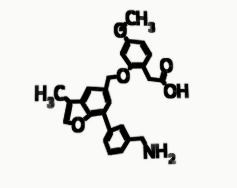 COc1ccc(CC(=O)O)c(OCc2cc(-c3cccc(CN)c3)c3occ(C)c3c2)c1